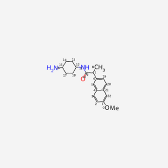 COc1ccc2cc(C(C)C(=O)NC3CCC(N)CC3)ccc2c1